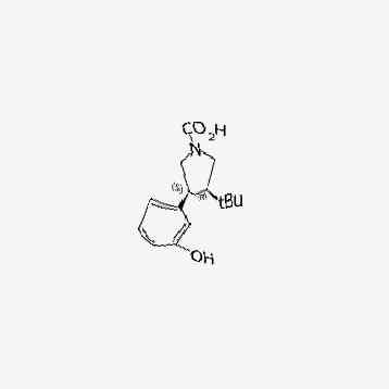 CC(C)(C)[C@@H]1CN(C(=O)O)C[C@@H]1c1cccc(O)c1